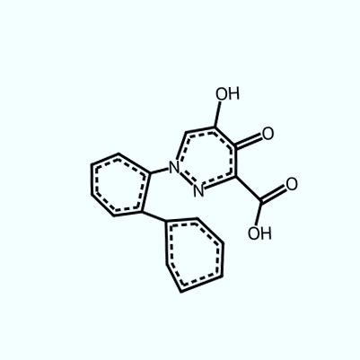 O=C(O)c1nn(-c2ccccc2-c2ccccc2)cc(O)c1=O